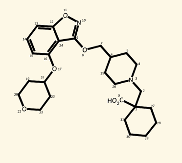 O=C(O)C1(CN2CCC(COc3noc4cccc(OC5CCOCC5)c34)CC2)CCCCC1